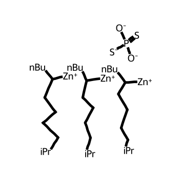 CCCC[CH]([Zn+])CCCCC(C)C.CCCC[CH]([Zn+])CCCCC(C)C.CCCC[CH]([Zn+])CCCCC(C)C.[O-]P([O-])(=S)[S-]